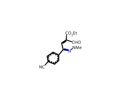 CCOC(=O)/C(C=O)=C/C(=N\NC)c1ccc(C#N)cc1